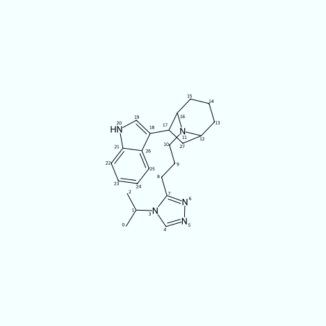 CC(C)n1cnnc1CCCN1C2CCCC1C(c1c[nH]c3ccccc13)C2